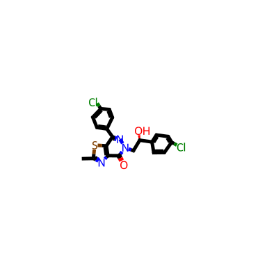 Cc1nc2c(=O)n(C[C@@H](O)c3ccc(Cl)cc3)nc(-c3ccc(Cl)cc3)c2s1